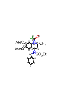 CCOC(=O)N(Cc1ccccc1)[C@@H]1C[C@H](C)N(C(=O)Cl)c2cc(OC)c(OC)cc21